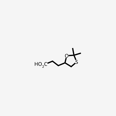 CC1(C)OC(CCC(=O)O)CS1